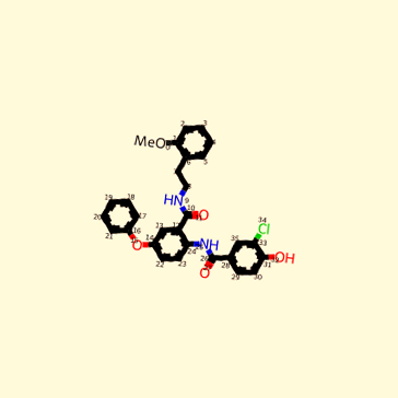 COc1ccccc1CCNC(=O)c1cc(Oc2ccccc2)ccc1NC(=O)c1ccc(O)c(Cl)c1